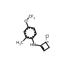 Cc1cc(OC(F)(F)F)ccc1NC1=CC[C@H]1Cl